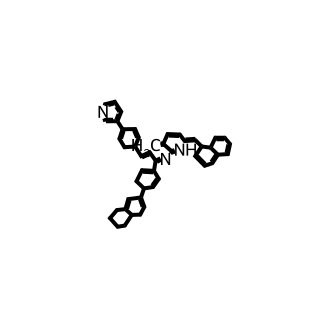 C=C(/C=C\C=C\C1C=CC=C2C=CC=CC21)C(=N)/N=C(\C=C\C1C=CC(c2cccnc2)=CC1)C1=CCC(C2=CCC3CCCCC3=C2)C=C1